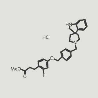 COC(=O)CCc1ccc(OCc2ccc(CN3CCC4(CC3)CNc3ccccc34)cc2)cc1F.Cl